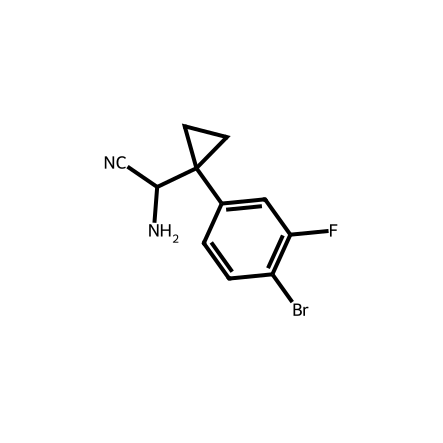 N#CC(N)C1(c2ccc(Br)c(F)c2)CC1